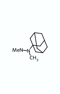 CNN(C)C12CC3CC(CC(C3)C1)C2